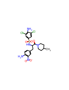 CC1CCN(C(=O)C(Cc2ccc(N)c([N+](=O)[O-])c2)NS(=O)(=O)c2cc(Cl)c(N)c(Cl)c2)CC1